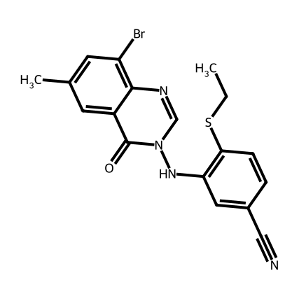 CCSc1ccc(C#N)cc1Nn1cnc2c(Br)cc(C)cc2c1=O